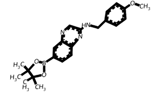 COc1ccc(CNc2cnc3cc(B4OC(C)(C)C(C)(C)O4)ccc3n2)cc1